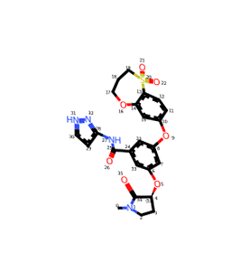 CN1CC[C@H](Oc2cc(Oc3ccc4c(c3)OCCCS4(=O)=O)cc(C(=O)Nc3cc[nH]n3)c2)C1=O